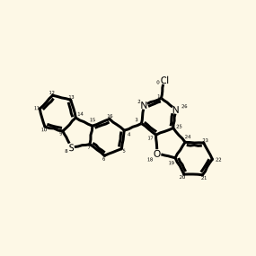 Clc1nc(-c2ccc3sc4ccccc4c3c2)c2oc3ccccc3c2n1